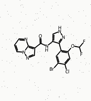 O=C(Nc1c[nH]nc1-c1cc(Br)c(Cl)cc1OC(F)F)c1cnn2cccnc12